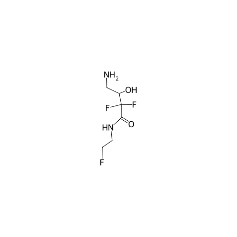 NCC(O)C(F)(F)C(=O)NCCF